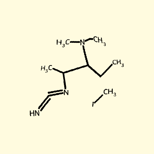 CCC(C(C)N=C=N)N(C)C.CI